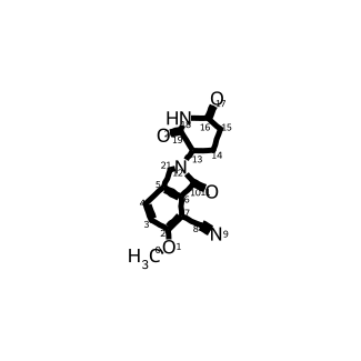 COc1ccc2c(c1C#N)C(=O)N(C1CCC(=O)NC1=O)C2